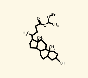 CC(C)OC(C)OC(=O)CCC(C)C1CCC2C3CCC4CC(O)CCC4(C)C3CCC12C